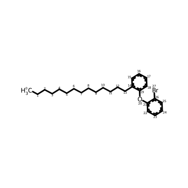 CCCCCCCCCCCCCCc1ccccc1Oc1ccccc1Br